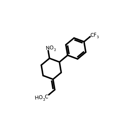 O=C(O)C=C1CCC([N+](=O)[O-])C(c2ccc(C(F)(F)F)cc2)C1